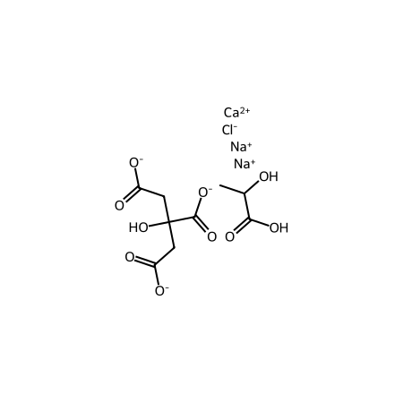 CC(O)C(=O)O.O=C([O-])CC(O)(CC(=O)[O-])C(=O)[O-].[Ca+2].[Cl-].[Na+].[Na+]